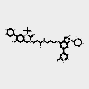 Cc1cc(-c2cc(NCCCNC(=O)CCN(Cc3ccc(-c4ccccc4)c(Cl)c3)C(=O)OC(C)(C)C)c3cnn(C4CCCCO4)c3c2)ccn1